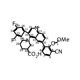 COCOc1c(C#N)cccc1-c1ccc2ncc(-c3cc(F)cc(F)c3)c(N3CCCC(C(=O)O)C3)c2c1